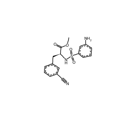 COC(=O)[C@H](Cc1cccc(C#N)c1)NS(=O)(=O)c1cccc(N)c1